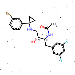 CC(=O)N[C@@H](Cc1cc(F)cc(F)c1)[C@H](O)CNC1(c2cccc(Br)c2)CC1